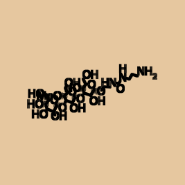 CO[C@@H]1C(CO)O[C@H](OC2C(O)[C@@H](OCCNC(=O)NCCCN)OC(CO)[C@H]2O)C(O)C1O[C@H]1OC(CO)[C@@H](O)C(O)C1O